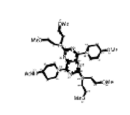 COCCN(CCOC)c1nc(N2CCC(OC)CC2)c2nc(N(CCOC)CCOC)nc(N3CCC(NC(C)=O)CC3)c2n1